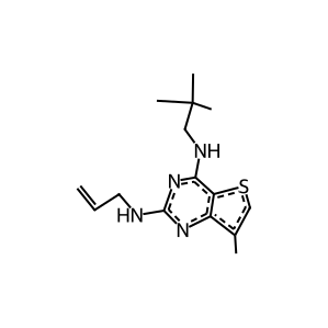 C=CCNc1nc(NCC(C)(C)C)c2scc(C)c2n1